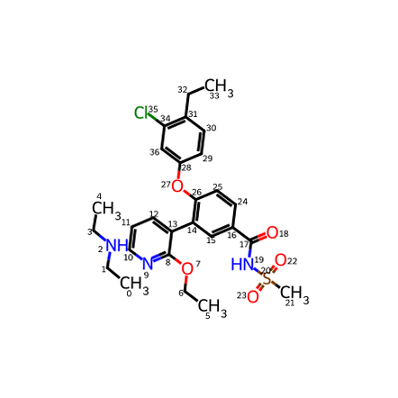 CCNCC.CCOc1ncccc1-c1cc(C(=O)NS(C)(=O)=O)ccc1Oc1ccc(CC)c(Cl)c1